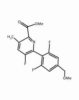 COCc1cc(F)c(-c2nc(C(=O)OC)c(C)cc2F)c(F)c1